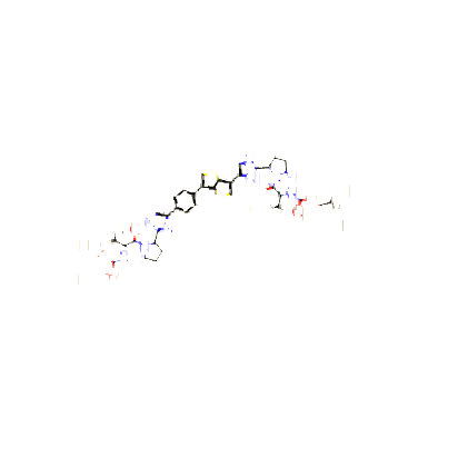 COC(=O)N[C@H](C(=O)N1CCCC1c1ncc(-c2ccc(-c3csc4c(-c5cnc(C6CCCN6C(=O)[C@@H](NC(=O)OCC(C)C)C(C)C)[nH]5)csc34)cc2)[nH]1)C(C)C